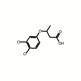 CC(CC(=O)O)Oc1ccc(Cl)c(Cl)c1